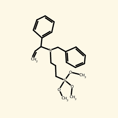 C=CC(c1ccccc1)N(CCC[Si](OC)(OC)OC)Cc1ccccc1